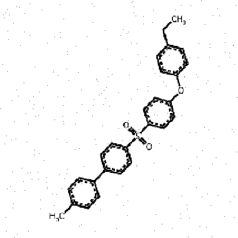 CCc1ccc(Oc2ccc(S(=O)(=O)c3ccc(-c4ccc(C)cc4)cc3)cc2)cc1